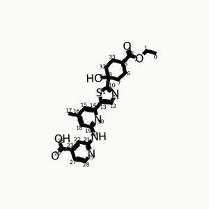 CCOC(=O)C1CCC(O)(c2ncc(-c3cc(C)cc(Nc4cc(C(=O)O)ccn4)n3)s2)CC1